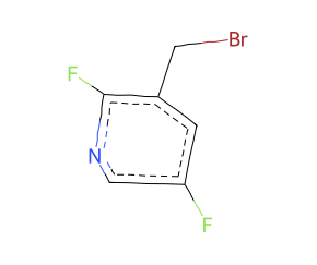 Fc1cnc(F)c(CBr)c1